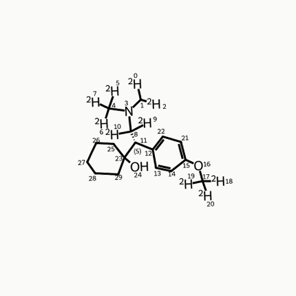 [2H]C([2H])N(C([2H])([2H])[2H])C([2H])([2H])[C@H](c1ccc(OC([2H])([2H])[2H])cc1)C1(O)CCCCC1